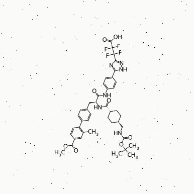 COC(=O)c1ccc(-c2ccc(C[C@H](NC(=O)[C@H]3CC[C@H](CNC(=O)OC(C)(C)C)CC3)C(=O)Nc3ccc(-c4nc(C(F)(F)C(F)(F)C(=O)O)n[nH]4)cc3)cc2)c(C)c1